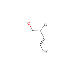 CCC/C=C/C(CC)C[O]